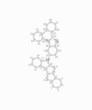 c1ccc2c(c1)sc1c2sc2c1c1ccccc1n2-c1ccc2nc3c4ccccc4c4ccccc4n3c2c1